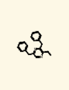 CCc1ncc(Cc2ccccc2)nc1Cc1ccccc1